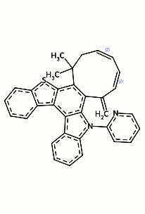 C=C1/C=C\C=C/CC(C)(C)c2c1c1c(c3ccccc3n1-c1ccccn1)c1c2sc2ccccc21